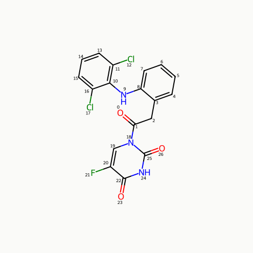 O=C(Cc1ccccc1Nc1c(Cl)cccc1Cl)n1cc(F)c(=O)[nH]c1=O